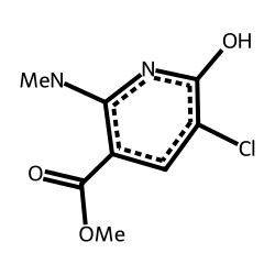 CNc1nc(O)c(Cl)cc1C(=O)OC